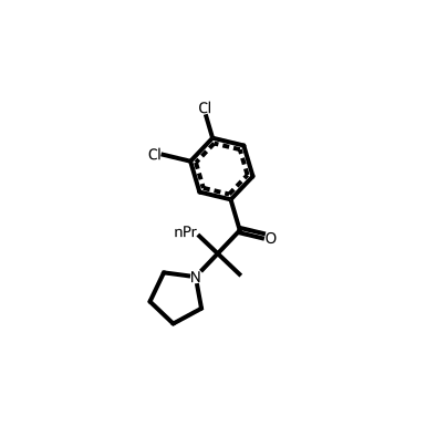 CCCC(C)(C(=O)c1ccc(Cl)c(Cl)c1)N1CCCC1